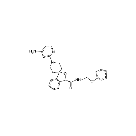 Nc1ccnc(N2CCC3(CC2)O[C@@H](C(=O)NCCOc2ccccc2)c2ccccc23)c1